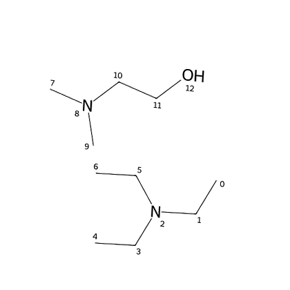 CCN(CC)CC.CN(C)CCO